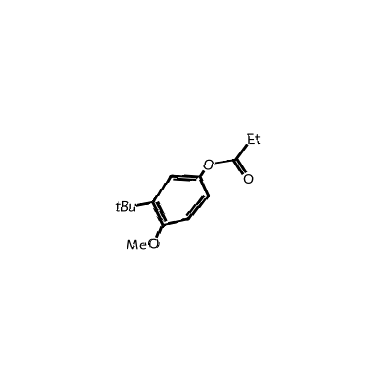 CCC(=O)Oc1ccc(OC)c(C(C)(C)C)c1